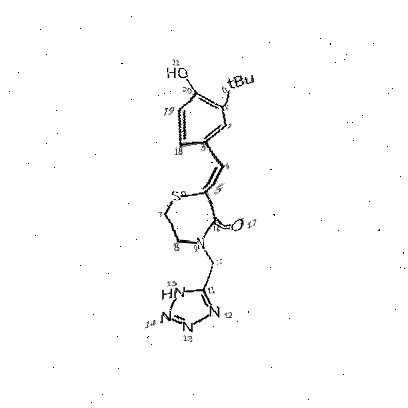 CC(C)(C)c1cc(C=C2SCCN(Cc3nnn[nH]3)C2=O)ccc1O